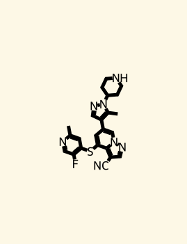 Cc1cc(Sc2cc(-c3cnn(C4CCNCC4)c3C)cn3ncc(C#N)c23)c(F)cn1